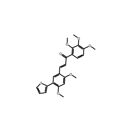 COc1cc(OC)c(-c2cccs2)cc1/C=C/C(=O)c1ccc(OC)c(OC)c1OC